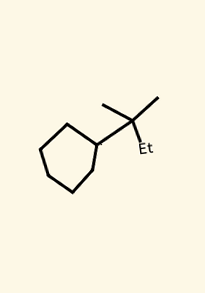 CCC(C)(C)[C]1CCCCC1